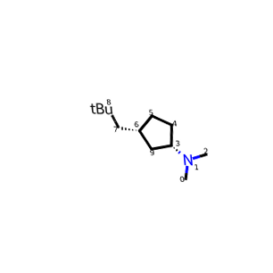 CN(C)[C@H]1CC[C@@H](CC(C)(C)C)C1